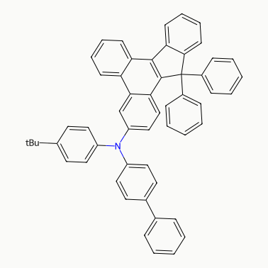 CC(C)(C)c1ccc(N(c2ccc(-c3ccccc3)cc2)c2ccc3c4c(c5ccccc5c3c2)-c2ccccc2C4(c2ccccc2)c2ccccc2)cc1